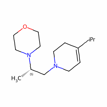 CC(C)C1=CCN(C[C@H](C)N2CCOCC2)CC1